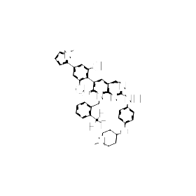 CN1CCC(Oc2ccc(Nc3ncc4cc(-c5c(Cl)cc(-c6cccn6C)cc5Cl)c(=O)n(Cc5ccccc5C(F)(F)F)c4n3)cc2)CC1